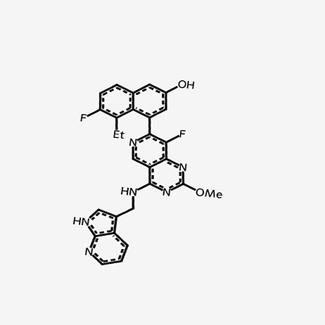 CCc1c(F)ccc2cc(O)cc(-c3ncc4c(NCc5c[nH]c6ncccc56)nc(OC)nc4c3F)c12